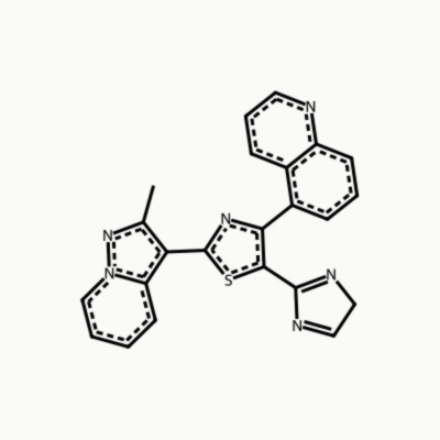 Cc1nn2ccccc2c1-c1nc(-c2cccc3ncccc23)c(C2=NCC=N2)s1